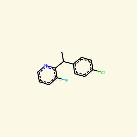 CC(c1ccc(Cl)cc1)c1ncccc1F